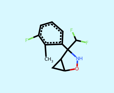 Cc1c(F)cccc1C1(C(F)F)NOC2CC21